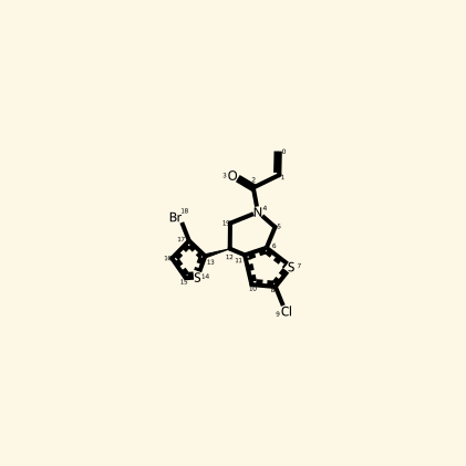 C=CC(=O)N1Cc2sc(Cl)cc2[C@@H](c2sccc2Br)C1